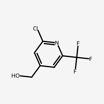 OCc1cc(Cl)nc(C(F)(F)F)c1